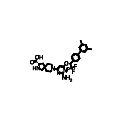 Cc1cc(C)cc(-c2ccc([C@@H](Oc3cc(N4CCC5(CC4)CN[C@H](C(=O)O)C5)nc(N)n3)C(F)(F)F)cc2)c1